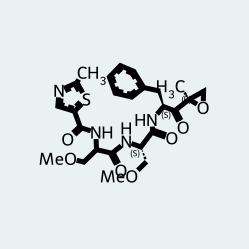 COCC(NC(=O)c1cnc(C)s1)C(=O)N[C@@H](COC)C(=O)N[C@@H](Cc1ccccc1)C(=O)[C@@]1(C)CO1